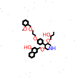 CCC(O)COC1CNCC(OCc2cc(O)c3ccccc3c2)C1c1ccc(OCCCOCc2ccccc2OC)cc1